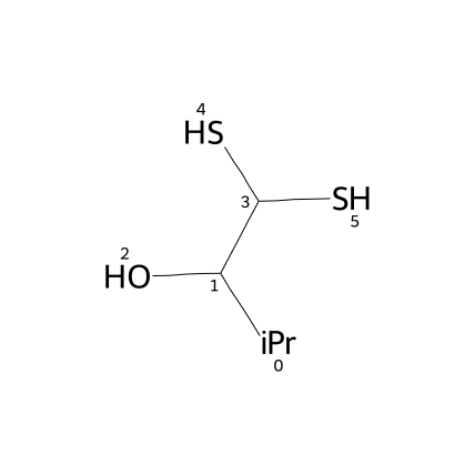 CC(C)C(O)C(S)S